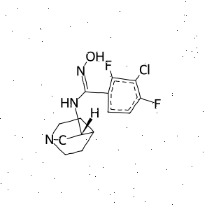 O/N=C(/N[C@H]1CN2CCC1CC2)c1ccc(F)c(Cl)c1F